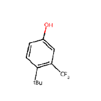 CC(C)(C)c1ccc(O)cc1C(F)(F)F